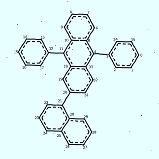 c1ccc(-c2c3ccccc3c(-c3ccccc3)c3cc(-c4cccc5ccccc45)ccc23)cc1